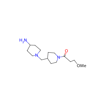 COCCC(=O)N1CCC(CN2CCC(N)CC2)CC1